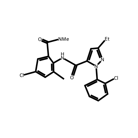 CCc1cc(C(=O)Nc2c(C)cc(Cl)cc2C(=O)NC)n(-c2ccccc2Cl)n1